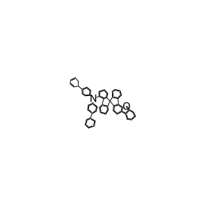 C1=CCC(c2ccc(N(c3ccc(-c4ccccc4)cc3)c3cccc4c3-c3ccccc3C43c4ccccc4-c4c3ccc3c4oc4ccccc43)cc2)C=C1